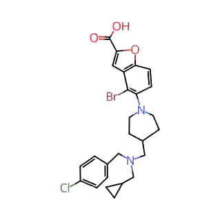 O=C(O)c1cc2c(Br)c(N3CCC(CN(Cc4ccc(Cl)cc4)CC4CC4)CC3)ccc2o1